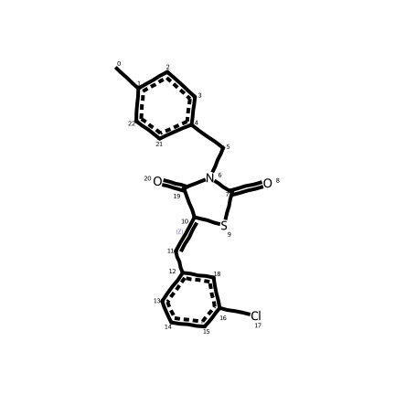 Cc1ccc(CN2C(=O)S/C(=C\c3cccc(Cl)c3)C2=O)cc1